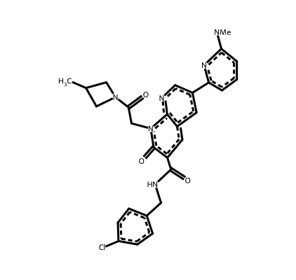 CNc1cccc(-c2cnc3c(c2)cc(C(=O)NCc2ccc(Cl)cc2)c(=O)n3CC(=O)N2CC(C)C2)n1